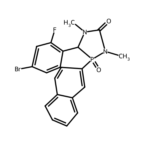 CN1C(=O)N(C)P(=O)(c2ccc3ccccc3c2)C1c1ccc(Br)cc1F